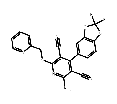 N#Cc1c(N)nc(SCc2ccccn2)c(C#N)c1-c1ccc2c(c1)OC(F)(F)O2